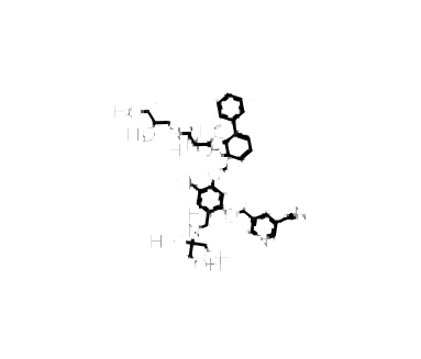 CC(CO)(CO)NCc1cc(Cl)c(OC[C@]2(OCCCNCC(O)CO)C=CC=C(c3ccccc3)C2(C)C)cc1OCc1cncc(C#N)c1